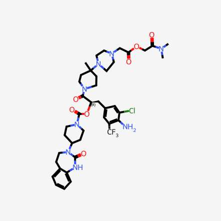 CN(C)C(=O)COC(=O)CN1CCN(C2(C)CCN(C(=O)[C@@H](Cc3cc(Cl)c(N)c(C(F)(F)F)c3)OC(=O)N3CCC(N4CCc5ccccc5NC4=O)CC3)CC2)CC1